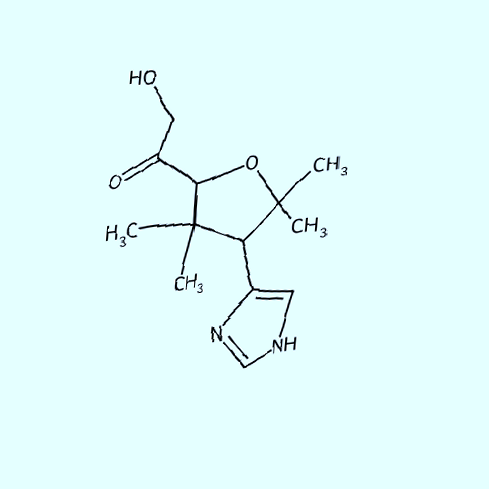 CC1(C)OC(C(=O)CO)C(C)(C)C1c1c[nH]cn1